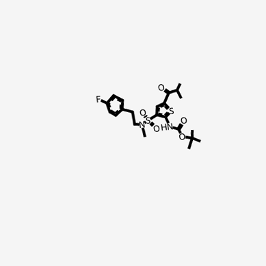 CC(C)C(=O)c1cc(S(=O)(=O)N(C)CCc2ccc(F)cc2)c(NC(=O)OC(C)(C)C)s1